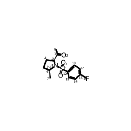 CC(=O)[C@@H]1CC[C@H](C)N1S(=O)(=O)c1ccc(F)cc1